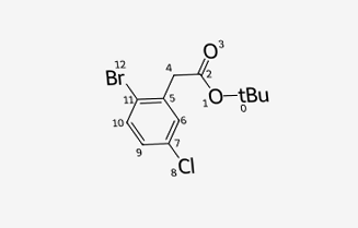 CC(C)(C)OC(=O)Cc1cc(Cl)ccc1Br